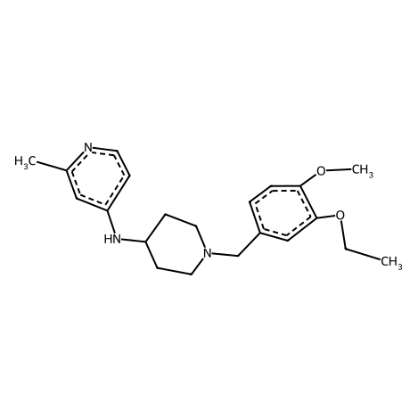 CCOc1cc(CN2CCC(Nc3ccnc(C)c3)CC2)ccc1OC